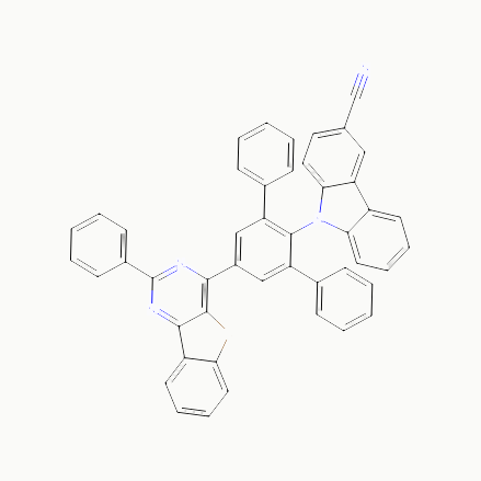 N#Cc1ccc2c(c1)c1ccccc1n2-c1c(-c2ccccc2)cc(-c2nc(-c3ccccc3)nc3c2sc2ccccc23)cc1-c1ccccc1